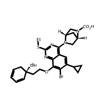 CCSc1nc(N2C[C@@H]3C[C@H]2CN3C(=O)O)c2cc(C3CC3)c(Br)c(OCC[C@]3(C(C)(C)C)C=CC=CC3)c2n1